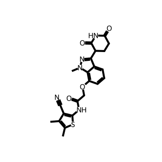 Cc1sc(NC(=O)COc2cccc3c(C4CCC(=O)NC4=O)nn(C)c23)c(C#N)c1C